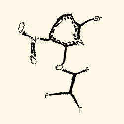 O=[N+]([O-])c1ccc(Br)nc1OC(F)C(F)F